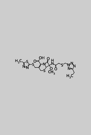 CCc1nnn(CSCC(=O)NC2(OC)C(=O)N3C(C(=O)O)=C(CSc4nnc(C)s4)CSC32)n1